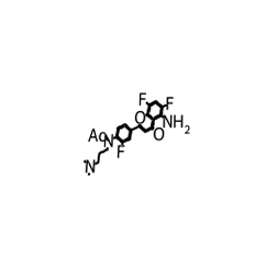 CC(=O)N(CCCN(C)C)c1ccc(-c2cc(=O)c3c(N)c(F)cc(F)c3o2)cc1F